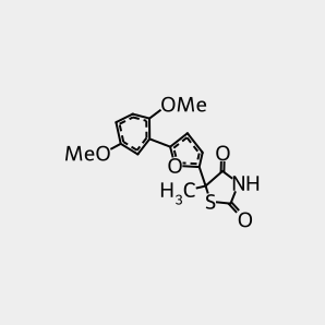 COc1ccc(OC)c(-c2ccc(C3(C)SC(=O)NC3=O)o2)c1